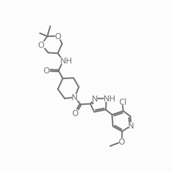 COc1cc(-c2cc(C(=O)N3CCC(C(=O)NC4COC(C)(C)OC4)CC3)n[nH]2)c(Cl)cn1